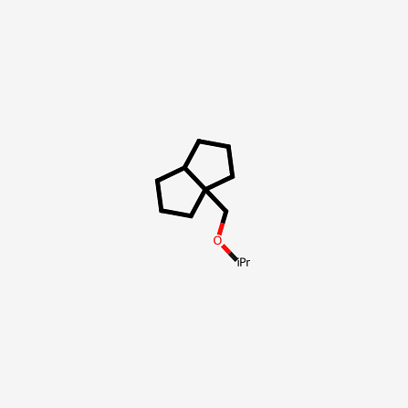 CC(C)OCC12CCCC1CCC2